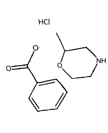 CC1CNCCO1.Cl.[O]C(=O)c1ccccc1